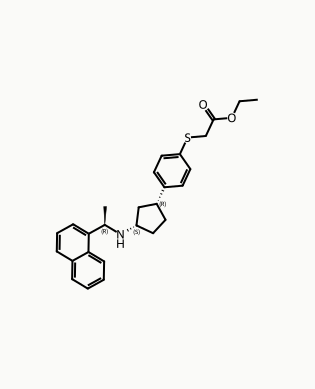 CCOC(=O)CSc1ccc([C@@H]2CC[C@H](N[C@H](C)c3cccc4ccccc34)C2)cc1